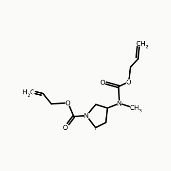 C=CCOC(=O)N1[CH]CC(N(C)C(=O)OCC=C)C1